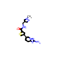 Cn1cc(CNC(=O)c2cc(-c3ccc4nc(N)nn4c3)cs2)cn1